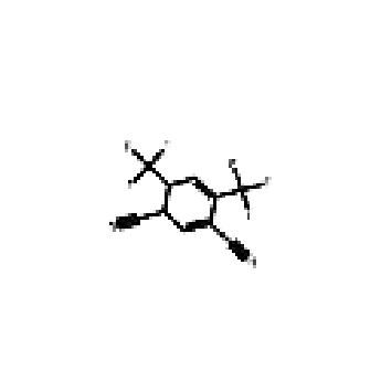 N#CC1=CC(C#N)C(C(F)(F)F)C=C1C(F)(F)F